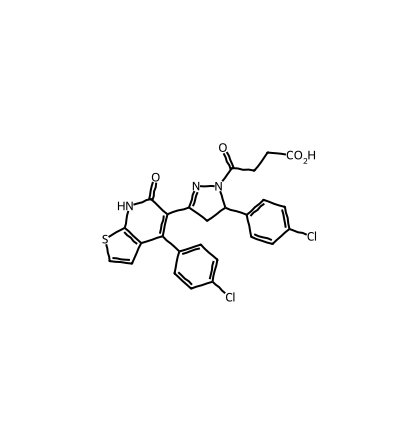 O=C(O)CCC(=O)N1N=C(c2c(-c3ccc(Cl)cc3)c3ccsc3[nH]c2=O)CC1c1ccc(Cl)cc1